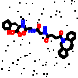 O=C(CCC(=O)N1Cc2ccccc2C#Cc2ccccc21)NCC(=O)NCC(=O)N[C@@H](Cc1ccccc1)C(=O)O